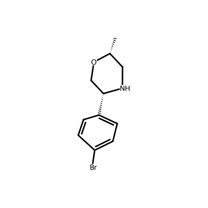 C[C@@H]1CN[C@H](c2ccc(Br)cc2)CO1